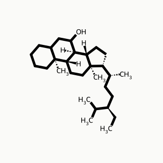 CC[C@H](CC[C@@H](C)[C@H]1CC[C@H]2[C@@H]3C(O)CC4CCCC[C@]4(C)[C@H]3CC[C@]12C)C(C)C